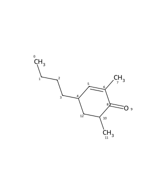 CCCCC1C=C(C)C(=O)C(C)C1